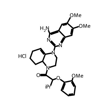 COc1cc2nc(N3CCN(C(=O)C(Oc4ccccc4OC)C(C)C)C4CCCC=C43)nc(N)c2cc1OC.Cl